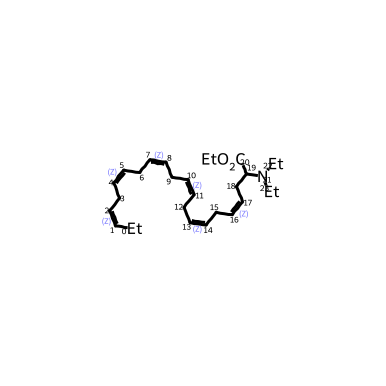 CC/C=C\C/C=C\C/C=C\C/C=C\C/C=C\C/C=C\CC(C(=O)OCC)N(CC)CC